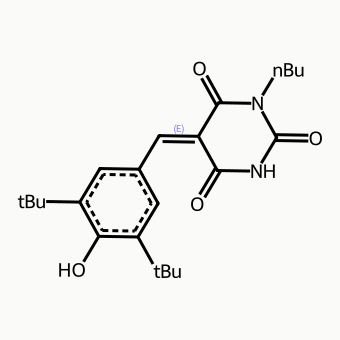 CCCCN1C(=O)NC(=O)/C(=C\c2cc(C(C)(C)C)c(O)c(C(C)(C)C)c2)C1=O